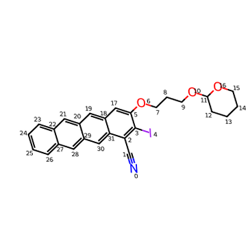 N#Cc1c(I)c(OCCCOC2CCCCO2)cc2cc3cc4ccccc4cc3cc12